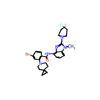 Cn1c(N2CCC(F)(F)CC2)nc2c(NC(=O)c3ccc(Br)cc3N3CCC4(CC3)CC4)cccc21